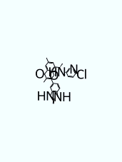 C=C1Nc2ccc(-c3oc4c([C@@H](C)Nc5ccc(Cl)nc5)cc(C)cc4c(=O)c3C)cc2N1